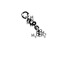 CC(C)(C)OC(=O)N1CCN(c2ccc(Nc3nc(N4CCCCCCCCCC4)cnc3C#N)cc2)CC1